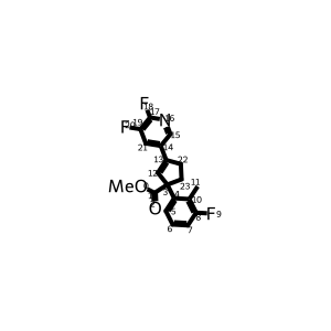 COC(=O)C1(c2cccc(F)c2C)C=C(c2cnc(F)c(F)c2)CC1